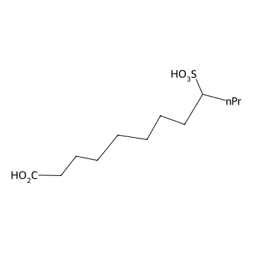 CCCC(CCCCCCCC(=O)O)S(=O)(=O)O